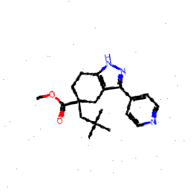 COC(=O)C1(CC(C)(C)C)CCc2[nH]nc(-c3ccncc3)c2C1